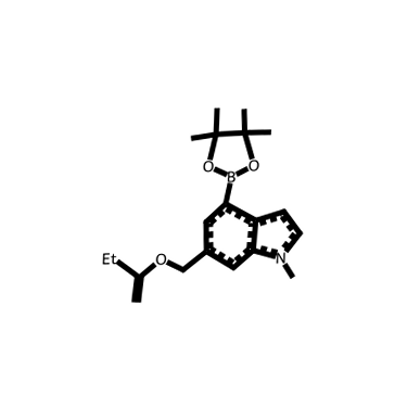 C=C(CC)OCc1cc(B2OC(C)(C)C(C)(C)O2)c2ccn(C)c2c1